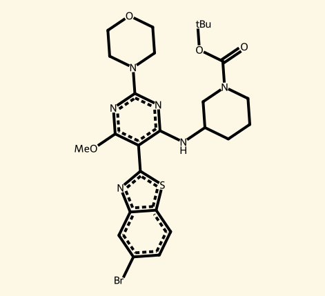 COc1nc(N2CCOCC2)nc(NC2CCCN(C(=O)OC(C)(C)C)C2)c1-c1nc2cc(Br)ccc2s1